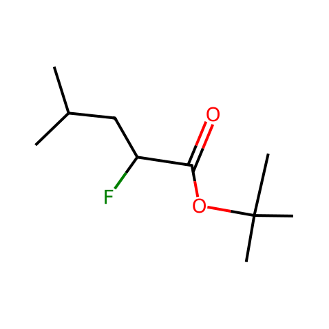 CC(C)CC(F)C(=O)OC(C)(C)C